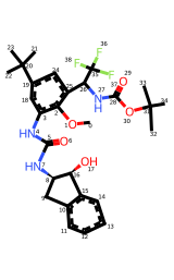 COc1c(NC(=O)N[C@@H]2Cc3ccccc3[C@@H]2O)cc(C(C)(C)C)cc1C(NC(=O)OC(C)(C)C)C(F)(F)F